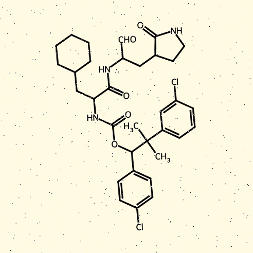 CC(C)(c1cccc(Cl)c1)C(OC(=O)NC(CC1CCCCC1)C(=O)NC(C=O)CC1CCNC1=O)c1ccc(Cl)cc1